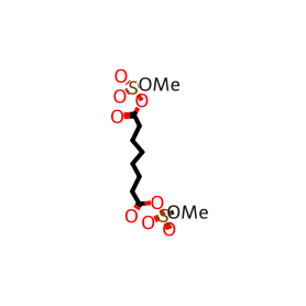 COS(=O)(=O)OC(=O)CCCCCCC(=O)OS(=O)(=O)OC